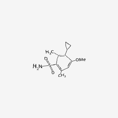 COc1cc(C)c(S(N)(=O)=O)c(C)c1C1CC1